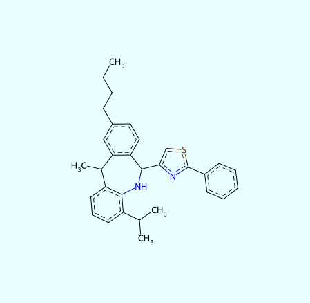 CCCCc1ccc2c(c1)C(C)c1cccc(C(C)C)c1NC2c1csc(-c2ccccc2)n1